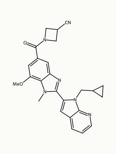 COc1cc(C(=O)N2CC(C#N)C2)cc2nc(-c3cc4cccnc4n3CC3CC3)n(C)c12